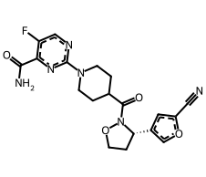 N#Cc1cc([C@@H]2CCON2C(=O)C2CCN(c3ncc(F)c(C(N)=O)n3)CC2)co1